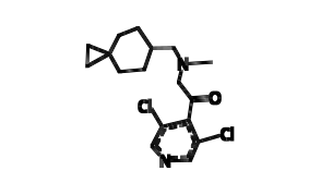 CN(CC(=O)c1c(Cl)cncc1Cl)CC1CCC2(CC1)CC2